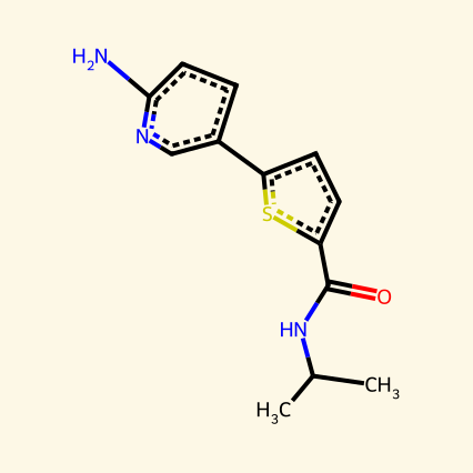 CC(C)NC(=O)c1ccc(-c2ccc(N)nc2)s1